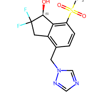 O=S(=O)(c1ccc(Cn2cncn2)c2c1[C@H](O)C(F)(F)C2)C(F)(F)F